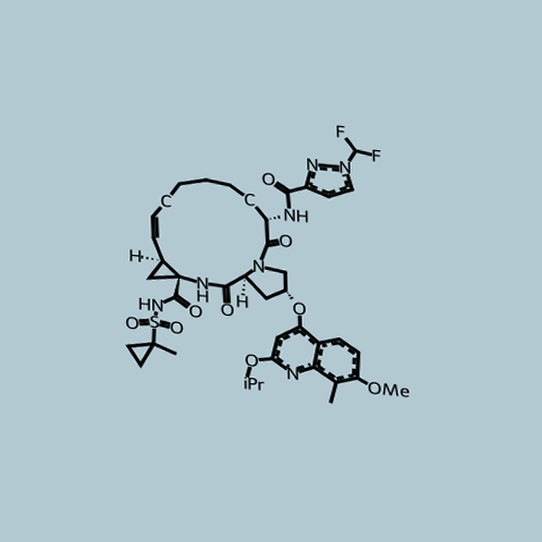 COc1ccc2c(O[C@@H]3C[C@H]4C(=O)N[C@]5(C(=O)NS(=O)(=O)C6(C)CC6)C[C@H]5C=CCCCCC[C@H](NC(=O)c5ccn(C(F)F)n5)C(=O)N4C3)cc(OC(C)C)nc2c1C